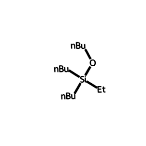 CCCCO[Si](CC)(CCCC)CCCC